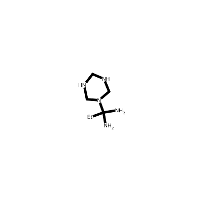 CCC(N)(N)N1CNCNC1